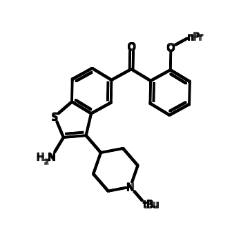 CCCOc1ccccc1C(=O)c1ccc2sc(N)c(C3CCN(C(C)(C)C)CC3)c2c1